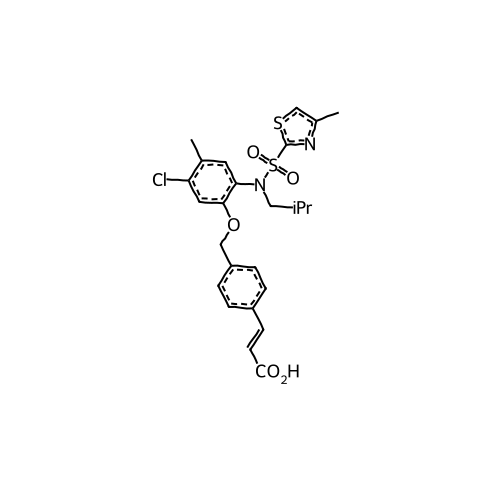 Cc1csc(S(=O)(=O)N(CC(C)C)c2cc(C)c(Cl)cc2OCc2ccc(/C=C/C(=O)O)cc2)n1